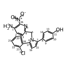 Nc1ccc(Cn2c(-c3ccc(O)cc3)ccc2-c2ccccc2Cl)nc1[N+](=O)[O-]